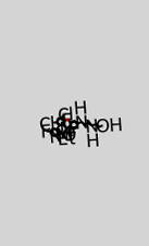 CCN1C(=O)N(c2c(F)cc(NCCNCCO)cc2F)c2cc(Cl)cc(Cl)c2-c2cc(F)cnc21